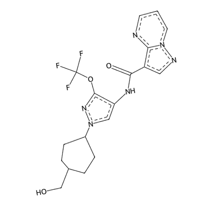 O=C(Nc1cn(C2CCC(CO)CC2)nc1OC(F)(F)F)c1cnn2cccnc12